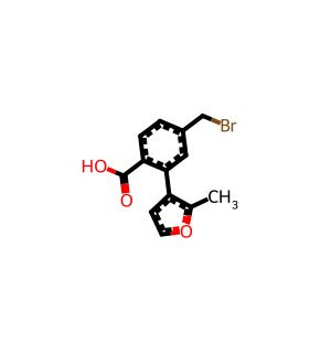 Cc1occc1-c1cc(CBr)ccc1C(=O)O